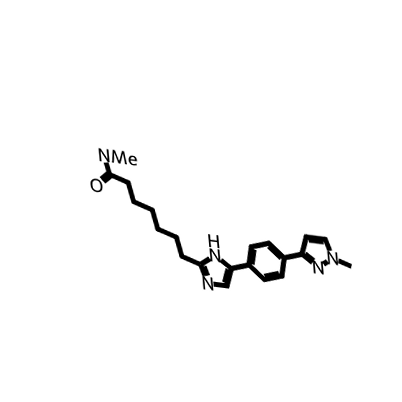 CNC(=O)CCCCCCc1ncc(-c2ccc(-c3ccn(C)n3)cc2)[nH]1